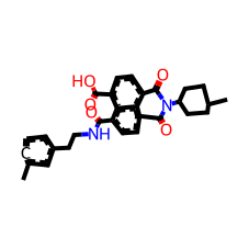 Cc1cccc(CCNC(=O)c2ccc3c4c(ccc(C(=O)O)c24)C(=O)N(C2CCC(C)CC2)C3=O)c1